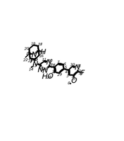 COc1cc(-c2ccc(-c3ncc(N(C)[C@@H]4C[C@H]5CCC[C@@](C)(C4)N5)nn3)c(O)c2)cnc1F